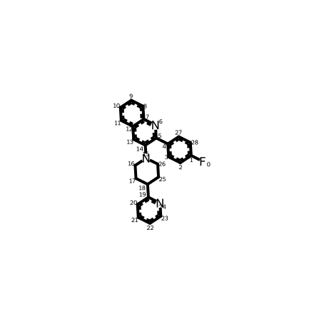 Fc1ccc(-c2nc3ccccc3cc2N2CCC(c3ccccn3)CC2)cc1